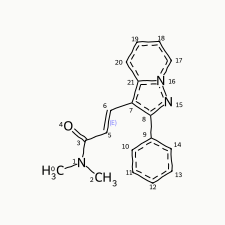 CN(C)C(=O)/C=C/c1c(-c2ccccc2)nn2ccccc12